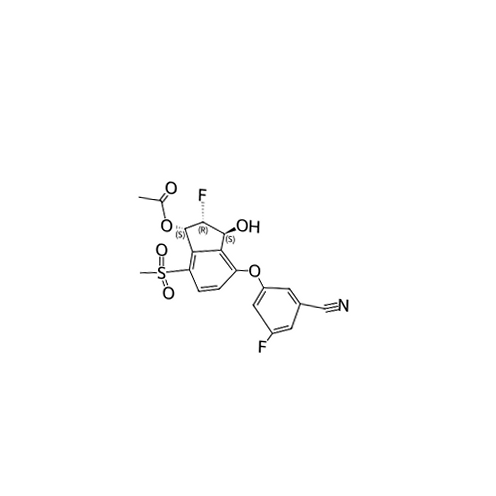 CC(=O)O[C@H]1c2c(S(C)(=O)=O)ccc(Oc3cc(F)cc(C#N)c3)c2[C@H](O)[C@H]1F